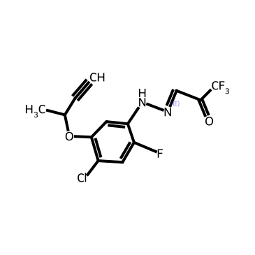 C#CC(C)Oc1cc(N/N=C/C(=O)C(F)(F)F)c(F)cc1Cl